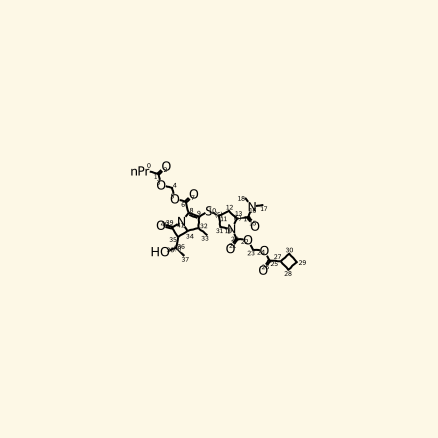 CCCC(=O)OCOC(=O)C1=C(S[C@H]2C[C@@H](C(=O)N(C)C)N(C(=O)OCOC(=O)C3CCC3)C2)C(C)C2C([C@@H](C)O)C(=O)N12